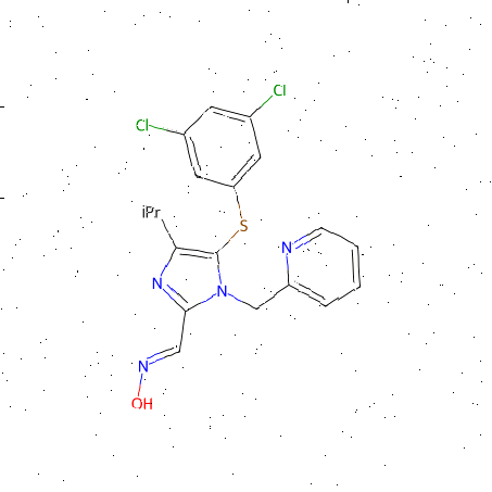 CC(C)c1nc(C=NO)n(Cc2ccccn2)c1Sc1cc(Cl)cc(Cl)c1